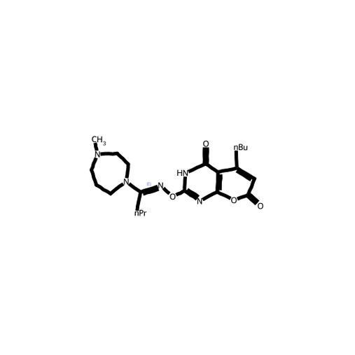 CCCCc1cc(=O)oc2nc(O/N=C(\CCC)N3CCCN(C)CC3)[nH]c(=O)c12